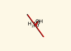 CCCCCCCCCCCCCCCCCCN(CCCCCCCCCCCCCCCCCC)C(=O)[C@@H](N)CCC(=O)O